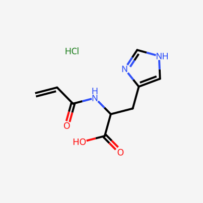 C=CC(=O)NC(Cc1c[nH]cn1)C(=O)O.Cl